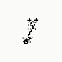 CC(C)(C)OC(=O)N[C@@H](CSSC(C)(C)C)C(=O)NCCCC[C@@H]1[NH2+][B-]2(OC1=O)[C@H]1CCC[C@@H]2CCC1